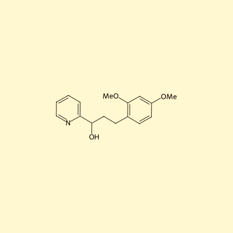 COc1ccc(CCC(O)c2ccccn2)c(OC)c1